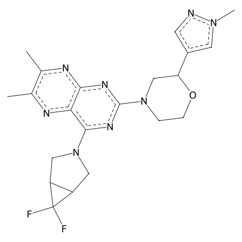 Cc1nc2nc(N3CCOC(c4cnn(C)c4)C3)nc(N3CC4C(C3)C4(F)F)c2nc1C